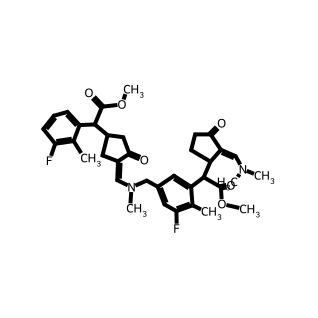 COC(=O)C(c1cccc(F)c1C)C1CC(=O)/C(=C\N(C)Cc2cc(F)c(C)c(C(C(=O)OC)C3CCC(=O)/C3=C/N(C)C)c2)C1